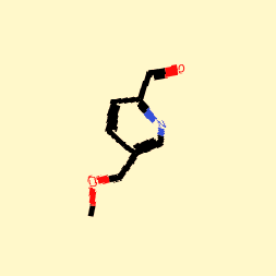 COCc1ccc(C=O)nc1